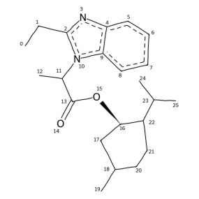 CCc1nc2ccccc2n1C(C)C(=O)O[C@@H]1CC(C)CCC1C(C)C